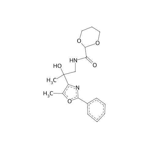 Cc1oc(-c2ccccc2)nc1C(C)(O)CNC(=O)C1OCCCO1